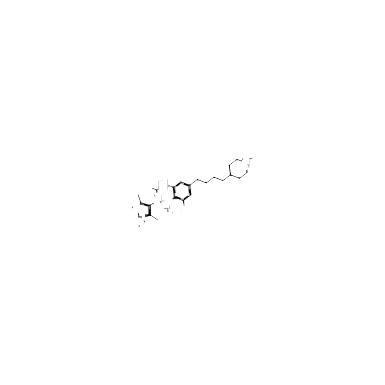 Cc1nn(C)c(C)c1N(C(F)F)[S+]([O-])c1c(Cl)cc(CCCCC2CCN(C)CC2)cc1Cl